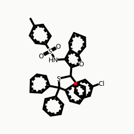 Cc1ccc(S(=O)(=O)Nc2c(C(SC(c3ccccc3)(c3ccccc3)c3ccccc3)c3cccc(Cl)c3)oc3ccccc23)cc1